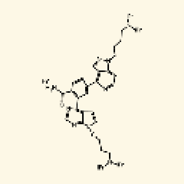 CC(C)N(CCCCn1ncc2c(-c3ccc(C(N)=O)c(-c4ncnc5c4cnn5CCCCN(C(C)C)C(C)C)c3)ncnc21)C(C)C.Cl